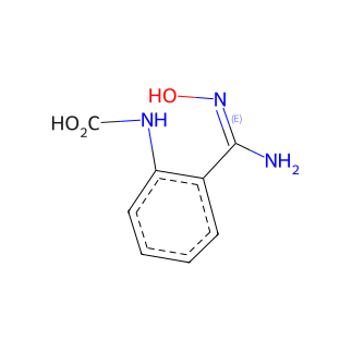 N/C(=N/O)c1ccccc1NC(=O)O